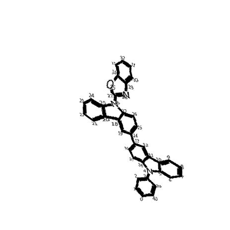 c1ccc(-n2c3ccccc3c3cc(-c4ccc5c(c4)c4ccccc4n5-c4nc5ccccc5o4)ccc32)cc1